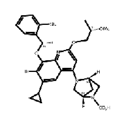 CO[C@@H](C)COc1cc(N2C[C@@H]3C[C@H]2CN3C(=O)O)c2cc(C3CC3)c(Br)c(O[C@@H](C)c3ccccc3C(C)(C)C)c2n1